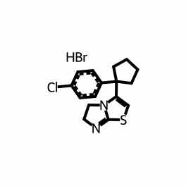 Br.Clc1ccc(C2(C3=CSC4=NCCN34)CCCC2)cc1